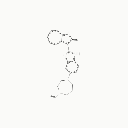 O=CN1CCCN(c2ccc3[nH]c(-c4c5cccccc-5[nH]c4=O)nc3c2)CC1